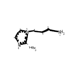 Br.NCCCn1ccnc1